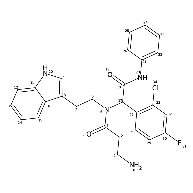 NCCC(=O)N(CCc1c[nH]c2ccccc12)C(C(=O)Nc1ccccc1)c1ccc(F)cc1Cl